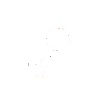 C=C1CSCCC(C(=O)CC(C)CO)CCCO1